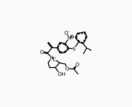 C=C(C(=O)N1CCC(O)C(COC(C)=O)C1)c1ccc(Sc2ccccc2C(C)C)c([N+](=O)[O-])c1